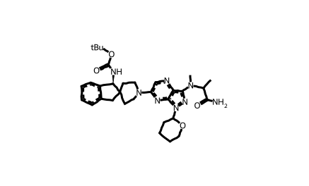 CC(C(N)=O)N(C)c1nn(C2CCCCO2)c2nc(N3CCC4(CC3)Cc3ccccc3[C@H]4NC(=O)OC(C)(C)C)cnc12